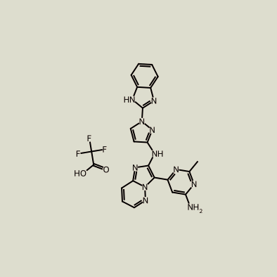 Cc1nc(N)cc(-c2c(Nc3ccn(-c4nc5ccccc5[nH]4)n3)nc3cccnn23)n1.O=C(O)C(F)(F)F